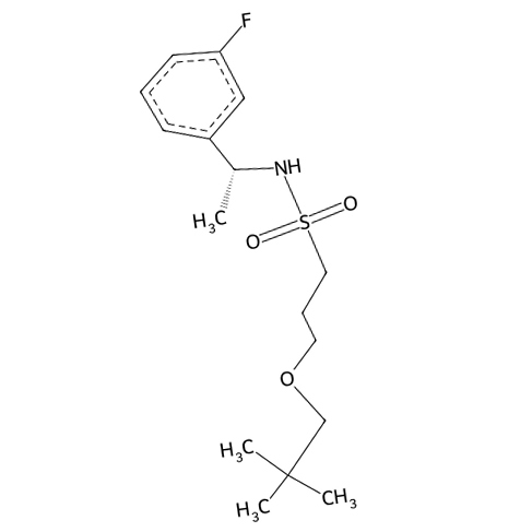 C[C@@H](NS(=O)(=O)CCCOCC(C)(C)C)c1cccc(F)c1